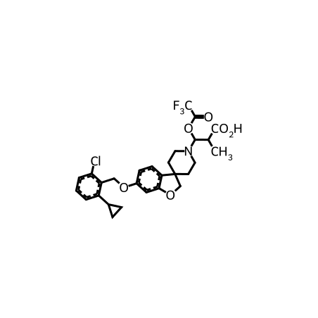 CC(C(=O)O)C(OC(=O)C(F)(F)F)N1CCC2(CC1)COc1cc(OCc3c(Cl)cccc3C3CC3)ccc12